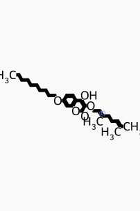 CCCCCCCCCCOc1ccc2c(O)c(OC/C=C(\C)CCC=C(C)C)c(=O)oc2c1